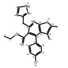 CCOC(=O)c1c(Cc2nc[nH]n2)nc2sc(C)c(C)c2c1-c1ccc(Cl)cc1